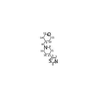 c1ncc(C2CCN(CC3CCOCC3)CC2)s1